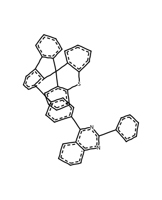 c1ccc(-c2nc(-c3ccc(-c4cccc5c4C4(c6ccccc6Sc6ccccc64)c4ccccc4-5)cc3)c3ccccc3n2)cc1